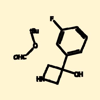 CC(C)(C)OC=O.OC1(c2cccc(F)c2)CNC1